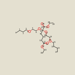 CCCCOCCOC(CCCC(=O)OCC)(OCCOCCCC)C(=O)OCC